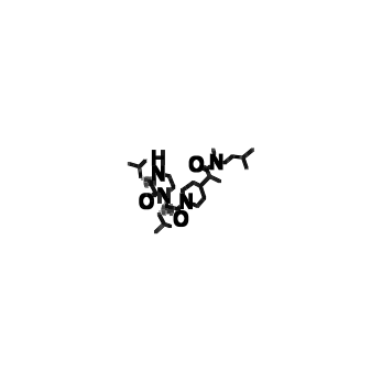 CC(C)CCN(C)C(=O)C(C)C1CCN(C(=O)[C@H](CC(C)C)N2CCN[C@@H](CC(C)C)C2=O)CC1